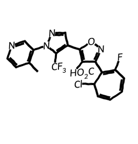 Cc1ccncc1-n1ncc(-c2onc(C3=C(F)C=CC=CC3Cl)c2C(=O)O)c1C(F)(F)F